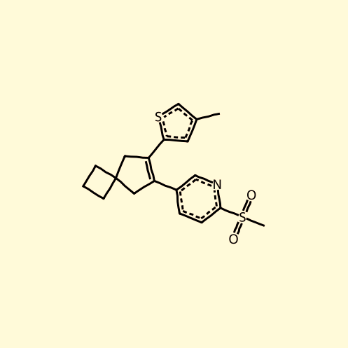 Cc1csc(C2=C(c3ccc(S(C)(=O)=O)nc3)CC3(CCC3)C2)c1